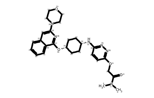 CN(C)C(=O)COc1ccc(N[C@H]2CC[C@@H](Oc3nc(N4CCOCC4)cc4ccccc34)CC2)nn1